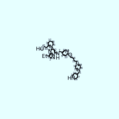 CCc1cnn2c(NCc3ccc(OCCCCN4CCN(CC5CCNCC5)CC4)nc3)cc(N3CCCCC3CCO)nc12